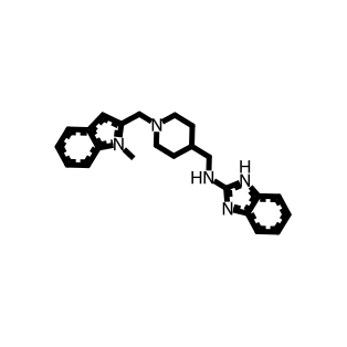 Cn1c(CN2CCC(CNc3nc4ccccc4[nH]3)CC2)cc2ccccc21